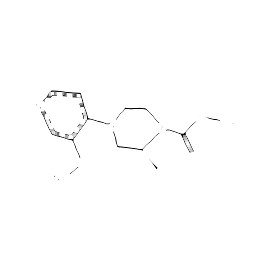 C[C@H]1CN(c2ccncc2SC#N)CCN1C(=O)OC(C)(C)C